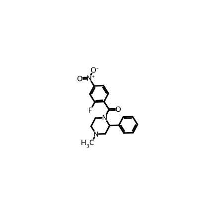 CN1CCN(C(=O)c2ccc([N+](=O)[O-])cc2F)C(c2ccccc2)C1